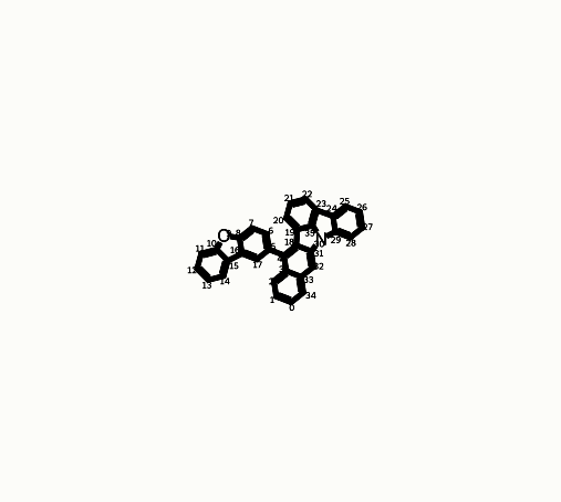 c1ccc2c(-c3ccc4oc5ccccc5c4c3)c3c4cccc5c6ccccc6n(c3cc2c1)c54